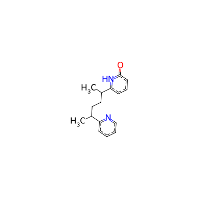 CC(CCC(C)c1cccc(=O)[nH]1)c1ccccn1